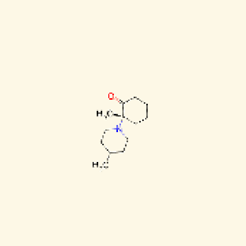 CC1CCN([C@@]2(C)CCCCC2=O)CC1